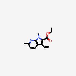 C=Cc1c(C(=O)OCC)n(C)c2nc(C)ccc12